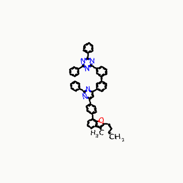 C=C/C=C\c1oc2c(-c3ccc(-c4cc(-c5cccc(-c6cccc(-c7nc(-c8ccccc8)nc(-c8ccccc8)n7)c6)c5)nc(-c5ccccc5)n4)cc3)cccc2c1C